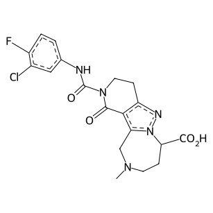 CN1CCC(C(=O)O)n2nc3c(c2C1)C(=O)N(C(=O)Nc1ccc(F)c(Cl)c1)CC3